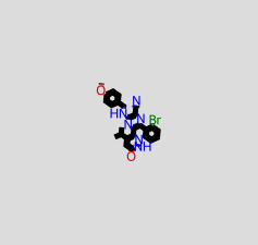 COc1ccc(CNc2nc(-c3n[nH]c(=O)cc3C(C)C)c(-c3ccccc3Br)nc2C#N)cc1